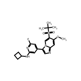 COc1cc2ncc(-c3cc(F)nc(NC4CCC4)c3)n2cc1S(=O)(=O)C(C)(C)C